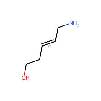 NC/C=[C]/CCO